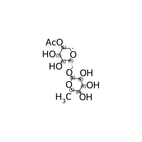 CC(=O)O[C@H]1[CH]O[C@H](CO[C@@H]2O[C@@H](C)[C@H](O)[C@@H](O)[C@H]2O)[C@@H](O)[C@@H]1O